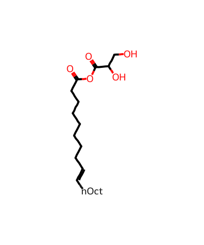 CCCCCCCCC=CCCCCCCCC(=O)OC(=O)C(O)CO